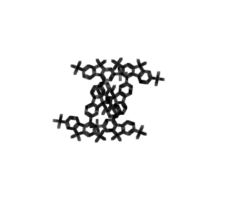 CCC1([Si](c2ccccc2)(c2ccccc2)C2(CC)c3cc(-c4cc(C(C)(C)C)cc5c4-c4ccc(C(C)(C)C)cc4C5(C)C)ccc3-c3ccc(-c4cc(C(C)(C)C)cc5c4-c4ccc(C(C)(C)C)cc4C5(C)C)cc32)c2cc(-c3cc(C(C)(C)C)cc4c3-c3ccc(C(C)(C)C)cc3C4(C)C)ccc2-c2ccc(-c3cc(C(C)(C)C)cc4c3-c3ccc(C(C)(C)C)cc3C4(C)C)cc21